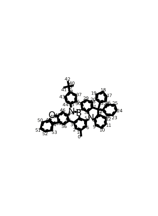 Cc1cc2c3c(c1)N1c4ccccc4C(c4ccccc4)(c4ccccc4)c4cccc(c41)B3N(c1ccc(C(C)(C)C)cc1)c1cc3oc4ccccc4c3cc1-2